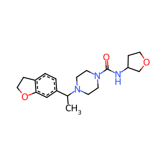 CC(c1ccc2c(c1)OCC2)N1CCN(C(=O)NC2CCOC2)CC1